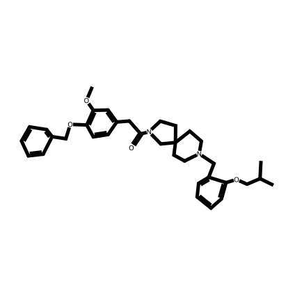 COc1cc(CC(=O)N2CCC3(CCN(Cc4ccccc4OCC(C)C)CC3)C2)ccc1OCc1ccccc1